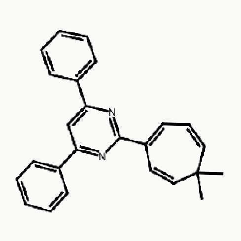 CC1(C)C=CC=C(c2nc(-c3ccccc3)cc(-c3ccccc3)n2)C=C1